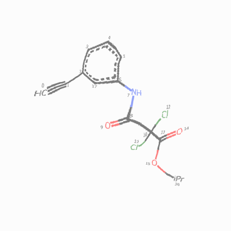 C#Cc1cccc(NC(=O)C(Cl)(Cl)C(=O)OC(C)C)c1